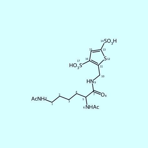 CC(=O)NCCCCC(NC(C)=O)C(=O)NCc1sc(S(=O)(=O)O)cc1S(=O)(=O)O